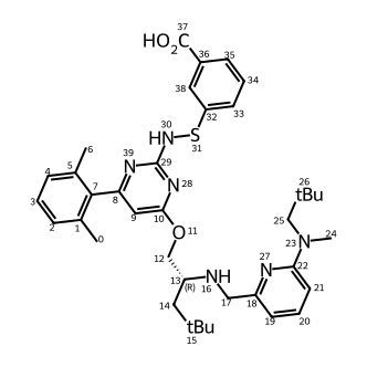 Cc1cccc(C)c1-c1cc(OC[C@@H](CC(C)(C)C)NCc2cccc(N(C)CC(C)(C)C)n2)nc(NSc2cccc(C(=O)O)c2)n1